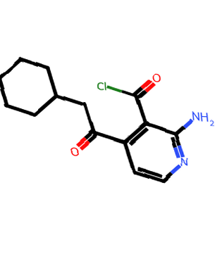 Nc1nccc(C(=O)CC2CCCCC2)c1C(=O)Cl